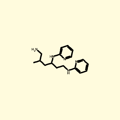 CC(CN)CC(CCNc1ccccn1)Nc1ccccn1